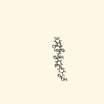 O=C(O)CC1CCN(c2ccc(C(=O)NCCNC(=O)c3sc4ccccc4c3Cl)cc2F)CC1